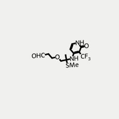 CSC(C)(COCCC=O)Nc1cc[nH]c(=O)c1C(F)(F)F